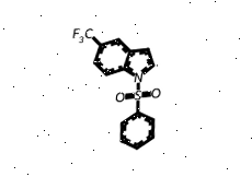 O=S(=O)(c1ccccc1)n1[c]cc2cc(C(F)(F)F)ccc21